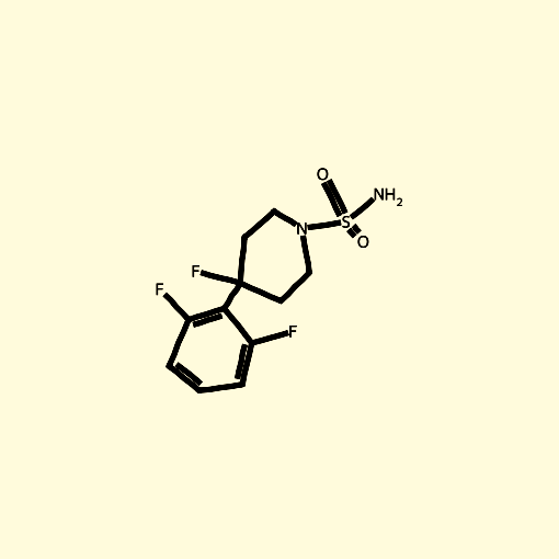 NS(=O)(=O)N1CCC(F)(c2c(F)cccc2F)CC1